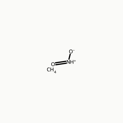 C.O=[NH+][O-]